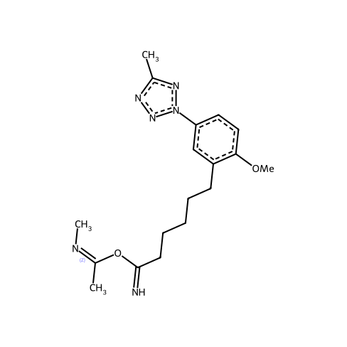 C/N=C(/C)OC(=N)CCCCCc1cc(-n2nnc(C)n2)ccc1OC